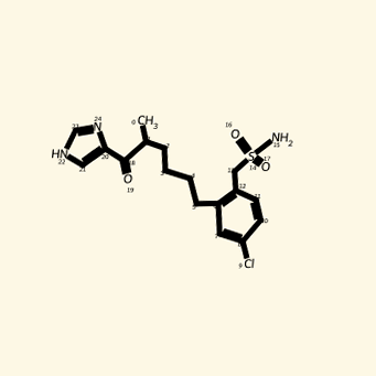 CC(CCCCc1cc(Cl)ccc1CS(N)(=O)=O)C(=O)c1c[nH]cn1